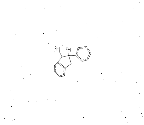 [2H]C1c2ccccc2CC1([2H])c1ccccc1